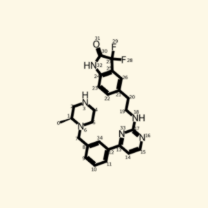 C[C@H]1CNCCN1Cc1cccc(-c2ccnc(NCCc3ccc4c(c3)C(F)(F)C(=O)N4)n2)c1